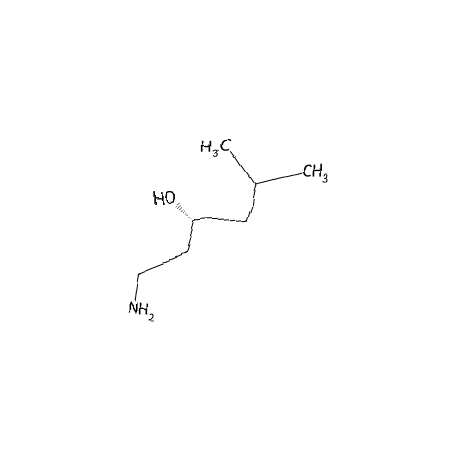 CC(C)C[C@@H](O)CCN